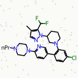 CCCN1CCN(c2ccc(-c3ccc(Cl)cc3N3CCCC(n4ncc(C)c4C(F)F)C3)cn2)CC1